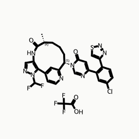 C[C@@H]1CCC[C@H](n2cnc(-c3cc(Cl)ccc3-c3csnn3)cc2=O)c2cc(ccn2)-c2c(cnn2C(F)F)NC1=O.O=C(O)C(F)(F)F